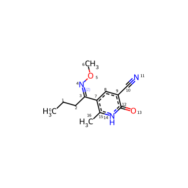 CCC/C(=N/OC)c1cc(C#N)c(=O)[nH]c1C